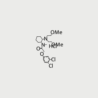 COCCN(CCOC)[C@@H]1CCCC[C@H]1N(C)C(=O)COc1ccc(Cl)c(Cl)c1.Cl